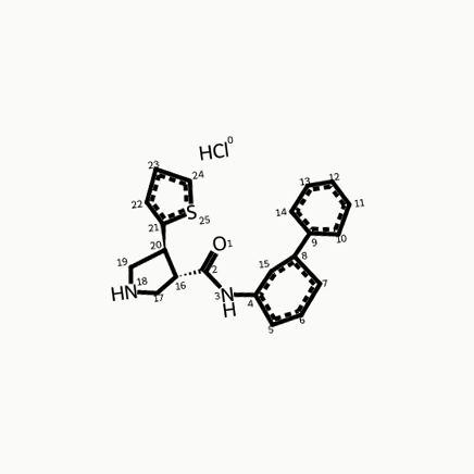 Cl.O=C(Nc1cccc(-c2ccccc2)c1)[C@@H]1CNC[C@H]1c1cccs1